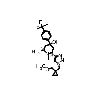 COCC1(Cn2cc([C@@H]3CC(O)(c4ccc(C(F)(F)F)cc4)C[C@H](C)N3)nn2)CC1